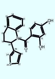 O=C(c1ccc(O)cc1O)N1c2ccccc2CCC1c1ccsc1